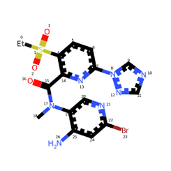 CCS(=O)(=O)c1ccc(-n2cncn2)nc1C(=O)N(C)c1cnc(Br)cc1N